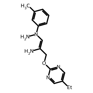 CCc1cnc(OC/C(N)=C/N(N)c2cccc(C)c2)nc1